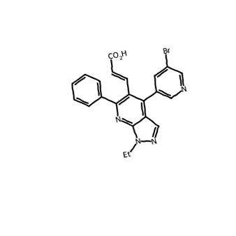 CCn1ncc2c(-c3cncc(Br)c3)c(C=CC(=O)O)c(-c3ccccc3)nc21